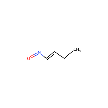 CCC=CN=O